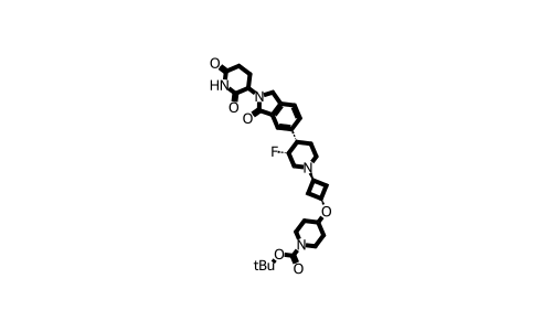 CC(C)(C)OC(=O)N1CCC(O[C@H]2C[C@H](N3CC[C@@H](c4ccc5c(c4)C(=O)N(C4CCC(=O)NC4=O)C5)[C@@H](F)C3)C2)CC1